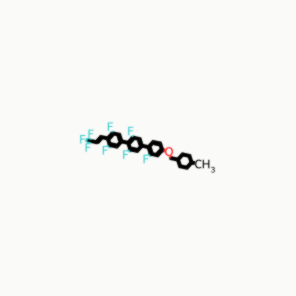 CC1CCC(COc2ccc(-c3cc(F)c(-c4cc(F)c(/C=C/C(F)(F)F)c(F)c4)c(F)c3)c(F)c2)CC1